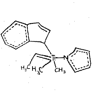 C[CH]=[Ti]([CH3])([CH3])([CH]1C=Cc2ccccc21)[n]1cccc1